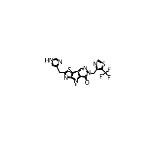 Cn1c2nc(Cc3c[nH]cn3)sc2c2cnn(Cc3ncsc3C(F)(F)F)c(=O)c21